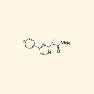 CNC(=O)Nc1nccc(-c2ccncc2)n1